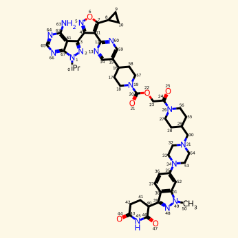 CC(C)n1nc(-c2noc(C3CC3)c2-c2ncc(C3CCN(C(=O)OCC(=O)N4CCC(CN5CCN(c6ccc7c(C8CCC(=O)NC8=O)nn(C)c7c6)CC5)CC4)CC3)cn2)c2c(N)ncnc21